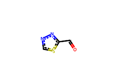 O=[C]c1nncs1